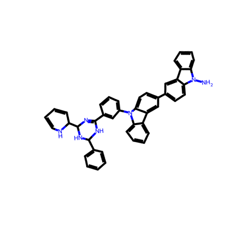 Nn1c2ccccc2c2cc(-c3ccc4c(c3)c3ccccc3n4-c3cccc(C4=NC(C5C=CC=CN5)NC(c5ccccc5)N4)c3)ccc21